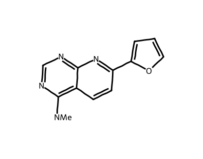 CNc1ncnc2nc(-c3ccco3)ccc12